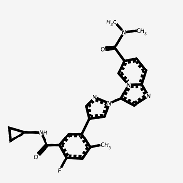 Cc1cc(F)c(C(=O)NC2CC2)cc1-c1cnn(-c2cnc3ccc(C(=O)N(C)C)cn23)c1